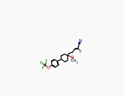 COC1(CCC=C(F)C#N)CCC(c2ccc(OC(F)(F)F)cc2)CC1